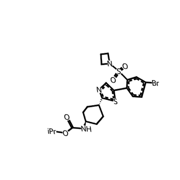 CC(C)OC(=O)N[C@H]1CC[C@H](c2ncc(-c3ccc(Br)cc3S(=O)(=O)N3CCC3)s2)CC1